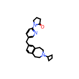 O=C1CCCN1c1ccc(Cc2ccc3c(c2)CCN(C2CCC2)CC3)cn1